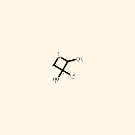 CCCC1(O)COC1C